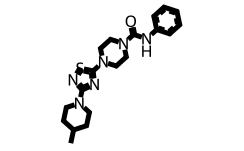 CC1CCN(c2nsc(N3CCN(C(=O)Nc4ccccc4)CC3)n2)CC1